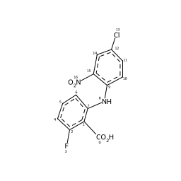 O=C(O)c1c(F)cccc1Nc1ccc(Cl)cc1[N+](=O)[O-]